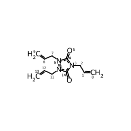 C=CCn1c(=O)n(CC=C)n(CC=C)c1=O